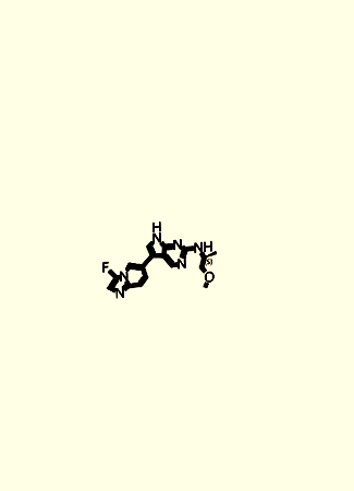 COC[C@H](C)Nc1ncc2c(-c3ccc4ncc(F)n4c3)c[nH]c2n1